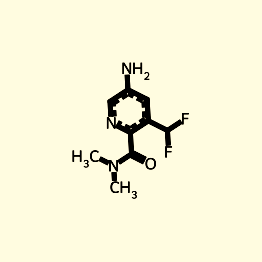 CN(C)C(=O)c1ncc(N)cc1C(F)F